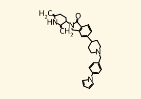 C=C1CCC(N2Cc3cc(C4CCN(Cc5ccc(-n6cccc6)cc5)CC4)ccc3C2=O)C(=C)N1